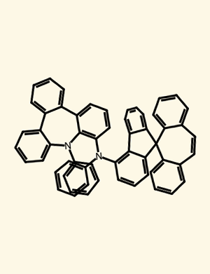 C1=Cc2ccccc2C2(c3ccccc31)c1ccccc1-c1c(N(c3ccccc3)c3cccc4c3N(c3ccccc3)c3ccccc3-c3ccccc3-4)cccc12